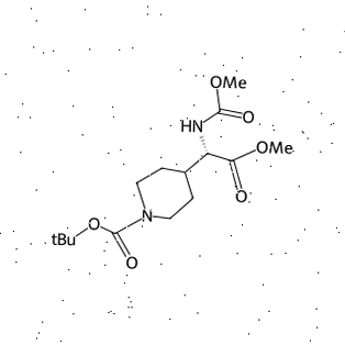 COC(=O)N[C@H](C(=O)OC)C1CCN(C(=O)OC(C)(C)C)CC1